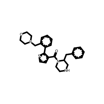 O=C(c1ccsc1-c1ccccc1CN1CCOCC1)N1CCNCC1Cc1ccccc1